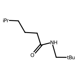 CC(C)CCCC(=O)NCC(C)(C)C